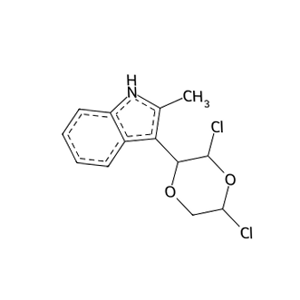 Cc1[nH]c2ccccc2c1C1OCC(Cl)OC1Cl